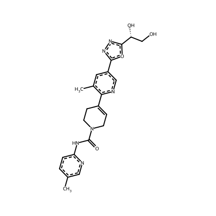 Cc1ccc(NC(=O)N2CC=C(c3ncc(-c4nnc([C@H](O)CO)o4)cc3C)CC2)nc1